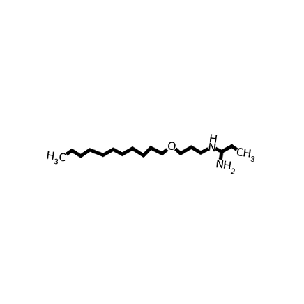 CCCCCCCCCCCOCCCNC(N)CC